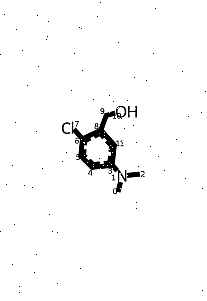 CN(C)c1ccc(Cl)c(CO)c1